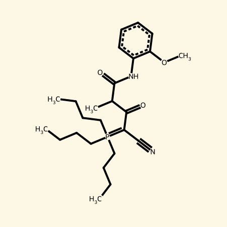 CCCCP(CCCC)(CCCC)=C(C#N)C(=O)C(C)C(=O)Nc1ccccc1OC